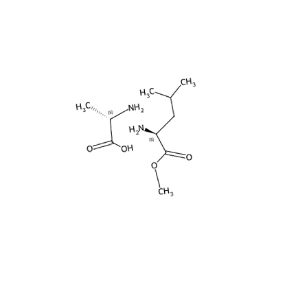 COC(=O)[C@@H](N)CC(C)C.C[C@H](N)C(=O)O